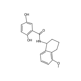 COc1cccc2c1CCCC2NC(=O)c1cc(O)ccc1O